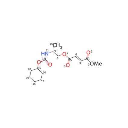 COC(=O)/C=C/C(=O)OC[C@@H](C)NC(=O)OC1CCCCC1